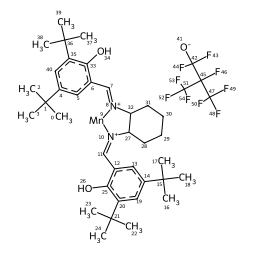 CC(C)(C)c1cc(C=[N+]2[Mn][N+](=Cc3cc(C(C)(C)C)cc(C(C)(C)C)c3O)C3CCCCC32)c(O)c(C(C)(C)C)c1.[O-]C(F)(F)C(F)(C(F)(F)F)C(F)(F)F